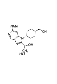 CNc1cc2c(cn1)nc(C(C)O)n2[C@H]1CC[C@H](CC#N)CC1.Cl